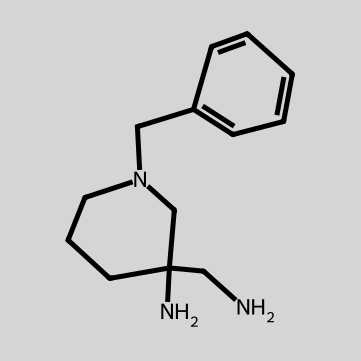 NCC1(N)CCCN(Cc2ccccc2)C1